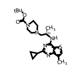 Cc1csc2c(N[C@@H](C)CN3CCN(C(=O)OC(C)(C)C)CC3)nc(C3CC3)nc12